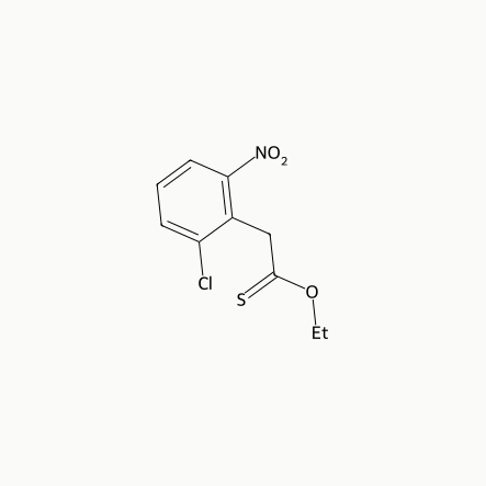 CCOC(=S)Cc1c(Cl)cccc1[N+](=O)[O-]